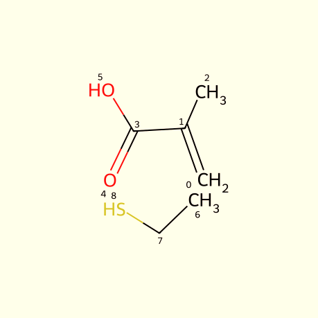 C=C(C)C(=O)O.CCS